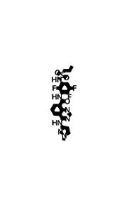 CCCS(=O)(=O)Nc1cc(F)c(F)c(NC(=O)c2cccc3c(Nc4ccn(C)n4)ncnc23)c1F